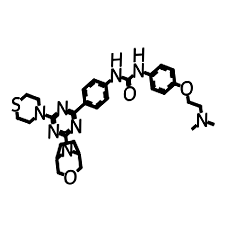 CN(C)CCOc1ccc(NC(=O)Nc2ccc(-c3nc(N4CCSCC4)nc(N4C5CCC4COC5)n3)cc2)cc1